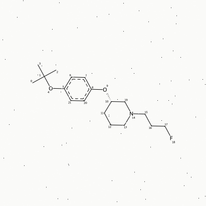 CC(C)(C)Oc1ccc(O[C@H]2CCCN(CCCF)C2)cc1